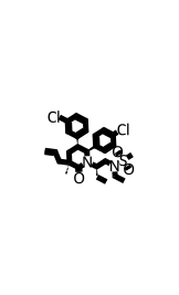 C=CC[C@@]1(C)C[C@H](c2cccc(Cl)c2)[C@@H](c2ccc(Cl)cc2)N([C@@H](CC)CN(CC)S(C)(=O)=O)C1=O